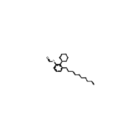 CCCCCCCCCCc1cc[c]c(OC=O)c1C1CCCCC1